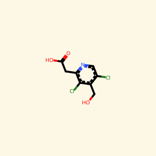 O=C(O)Cc1ncc(Cl)c(CO)c1Cl